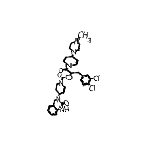 CN1CCN(C2CCN(C(=O)C(Cc3ccc(Cl)c(Cl)c3)OC(=O)N3CCC(N4Cc5ccccc5NC4=O)CC3)CC2)CC1